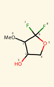 COC1C(O)COC1(F)F